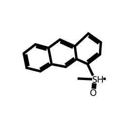 C[SH](C)(=O)c1cccc2cc3ccccc3cc12